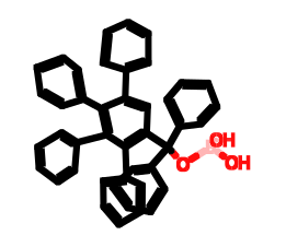 OB(O)OC(c1ccccc1)(c1ccccc1)c1cc(-c2ccccc2)c(-c2ccccc2)c(-c2ccccc2)c1-c1ccccc1